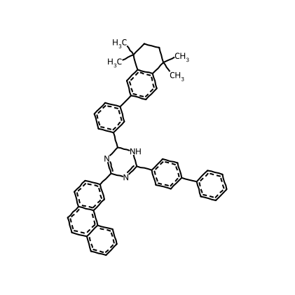 CC1(C)CCC(C)(C)c2cc(-c3cccc(C4N=C(c5ccc6ccc7ccccc7c6c5)N=C(c5ccc(-c6ccccc6)cc5)N4)c3)ccc21